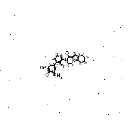 CCc1c(-c2cc(Br)c(=O)n(C)c2)ccnc1N1CCn2c(cc3c2CCCC3)C1=O